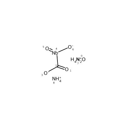 O.O=[C]([O-])[Nb](=[O])[O-].[NH4+].[NH4+]